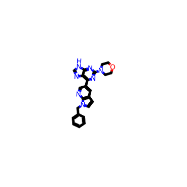 c1ccc(Cn2ccc3cc(-c4nc(N5CCOCC5)nc5[nH]cnc45)cnc32)cc1